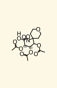 CC(=O)OC([C@H](OC(C)=O)[C@H](OC(C)=O)C(=O)O)C1(N=O)CCOCC1